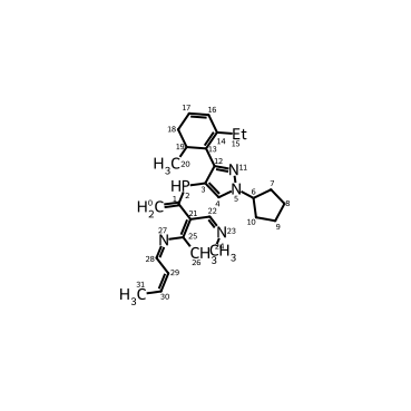 C=C(Pc1cn(C2CCCC2)nc1C1=C(CC)C=CCC1C)C(/C=N\C)=C(C)\N=C/C=C\C